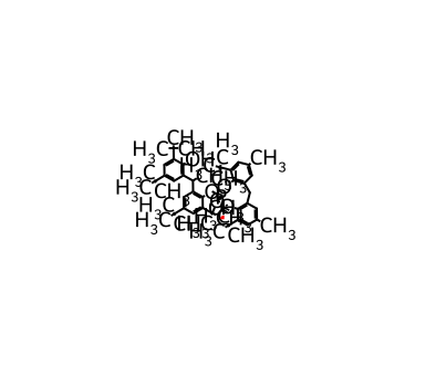 Cc1cc2c(c(C(C)(C)C)c1)OP(=O)(Oc1c(C(C)c3cc(C(C)(C)C)cc(C(C)(C)C)c3O)cc(C(C)(C)C)cc1C(C)(C)C)Oc1c(cc(C)cc1C(C)(C)C)C2